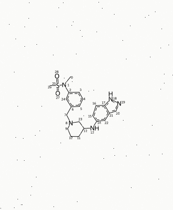 CN(c1cccc(CN2CCCC(Nc3ccc4[nH]ncc4c3)C2)c1)S(C)(=O)=O